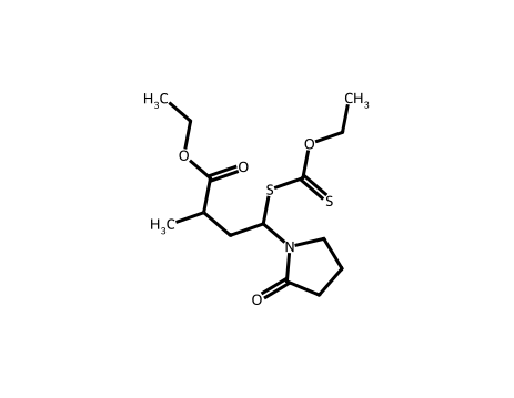 CCOC(=O)C(C)CC(SC(=S)OCC)N1CCCC1=O